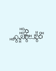 O=C(CNC(=O)C(CCCNC(=O)c1cccc(O)c1O)NC(=O)c1cccc(O)c1O)NC1CCCN(O)C1=O